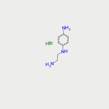 Br.NCCNc1ccc(N)cc1